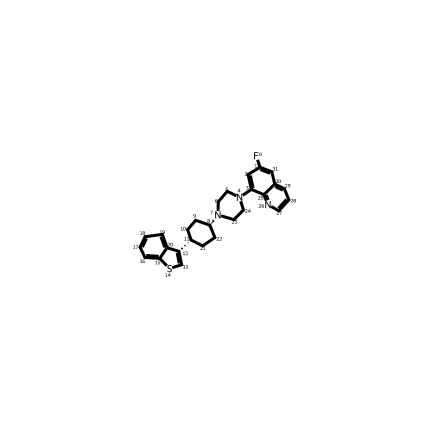 Fc1cc(N2CCN([C@H]3CC[C@@H](c4csc5ccccc54)CC3)CC2)c2ncccc2c1